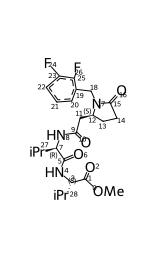 COC(=O)[C@@H](NC(=O)[C@H](NC(=O)C[C@@H]1CCC(=O)N1Cc1cccc(F)c1F)C(C)C)C(C)C